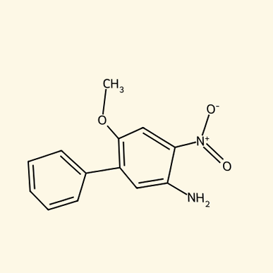 COc1cc([N+](=O)[O-])c(N)cc1-c1ccccc1